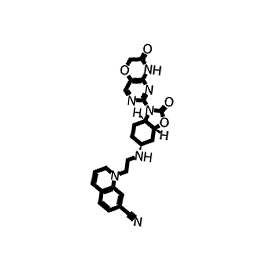 N#Cc1ccc2c(c1)N(CCN[C@@H]1CC[C@@H]3[C@@H](C1)OC(=O)N3c1ncc3c(n1)NC(=O)CO3)CC=C2